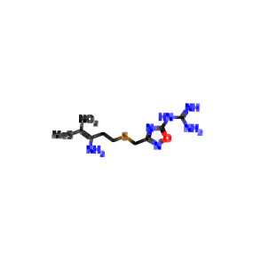 CSC(=C(N)CCSCc1noc(NC(=N)N)n1)[N+](=O)[O-]